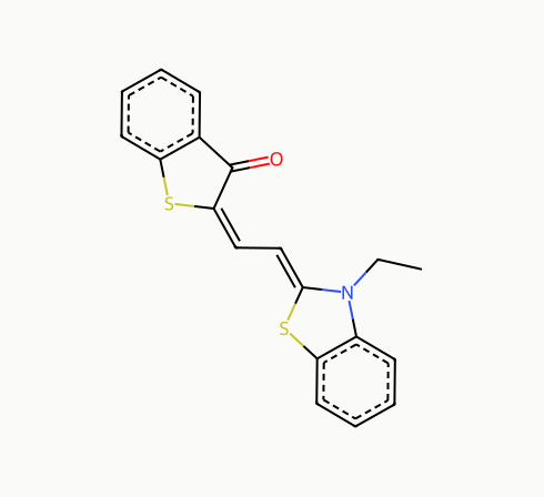 CCN1/C(=C/C=C2/Sc3ccccc3C2=O)Sc2ccccc21